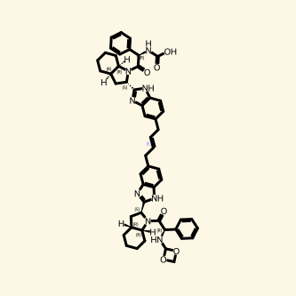 O=C(O)N[C@@H](C(=O)N1[C@@H]2CCCC[C@@H]2C[C@H]1c1nc2cc(C/C=C/Cc3ccc4[nH]c([C@@H]5C[C@H]6CCCC[C@H]6N5C(=O)[C@H](NC5OCO5)c5ccccc5)nc4c3)ccc2[nH]1)c1ccccc1